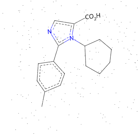 Cc1ccc(-c2ncc(C(=O)O)n2C2CCCCC2)cc1